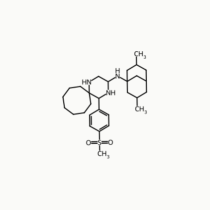 CC1CC2CC(C)CC(NC3CNC4(CCCCCCC4)C(c4ccc(S(C)(=O)=O)cc4)N3)(C1)C2